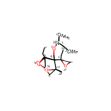 CO[SiH](OC)OC(C1(C)CO1)(C1(C)CO1)C1(C)CO1